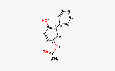 CC(=O)Oc1ccc(O)c(-c2ccccc2)c1